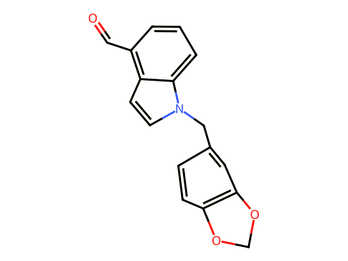 O=Cc1cccc2c1ccn2Cc1ccc2c(c1)OCO2